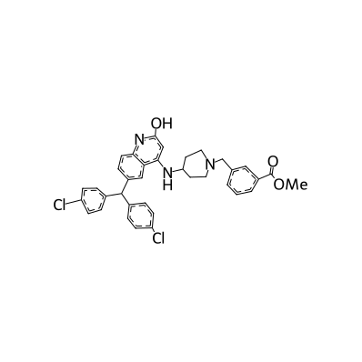 COC(=O)c1cccc(CN2CCC(Nc3cc(O)nc4ccc(C(c5ccc(Cl)cc5)c5ccc(Cl)cc5)cc34)CC2)c1